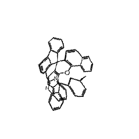 CC1C=CC=C(c2nc(-c3cccc4c3C3(c5ccccc5-4)c4ccc5ccccc5c4Oc4c3ccc3ccccc43)nc3ccccc23)C1